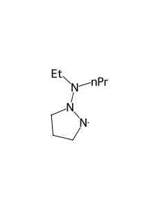 CCCN(CC)N1CCC[N]1